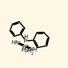 N=[N+]=N.[PbH2].c1ccc(Pc2ccccc2)cc1